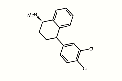 CN[C@@H]1CCC(c2ccc(Cl)c(Cl)c2)c2ccccc21